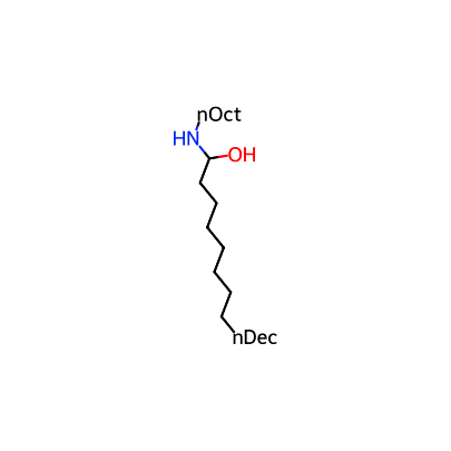 CCCCCCCCCCCCCCCCCC(O)NCCCCCCCC